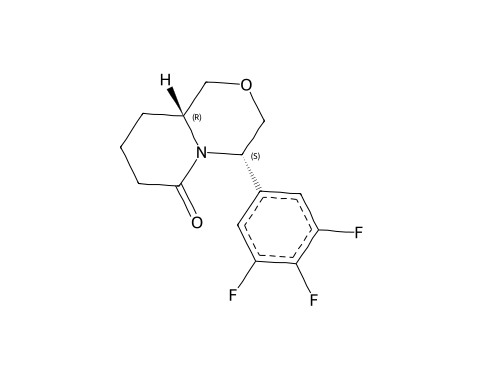 O=C1CCC[C@@H]2COC[C@H](c3cc(F)c(F)c(F)c3)N12